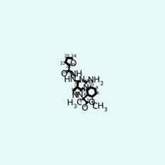 COC(=O)C(C)(c1ccccc1)n1ncc2c(NNC(=O)c3ccco3)nc(N)nc21